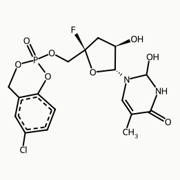 CC1=CN([C@@H]2O[C@](F)(COP3(=O)OCc4cc(Cl)ccc4O3)C[C@H]2O)C(O)NC1=O